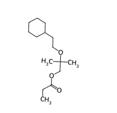 CCC(=O)OCC(C)(C)OCCC1CCCCC1